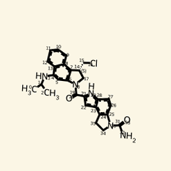 CC(C)Nc1cc2c(c3ccccc13)[C@H](CCl)CN2C(=O)c1cc2c3c(ccc2[nH]1)N(C(N)=O)CC3